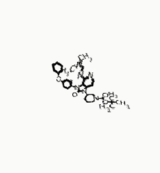 CN(C)/C=N/c1nccc2c1n(-c1ccc(Oc3ccccc3)cc1)c(=O)n2[C@@H]1CCCN(C(=O)OC(C)(C)C)C1